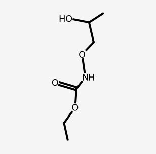 CCOC(=O)NOCC(C)O